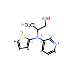 O=C(O)C(CO)N(c1cccnc1)c1cccs1